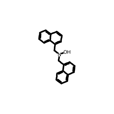 ON(Cc1cccc2ccccc12)Cc1cccc2ccccc12